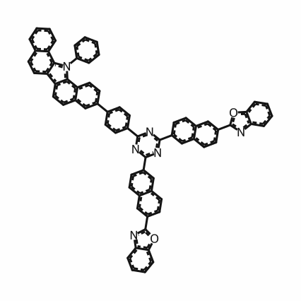 c1ccc(-n2c3c4ccccc4ccc3c3ccc4cc(-c5ccc(-c6nc(-c7ccc8cc(-c9nc%10ccccc%10o9)ccc8c7)nc(-c7ccc8cc(-c9nc%10ccccc%10o9)ccc8c7)n6)cc5)ccc4c32)cc1